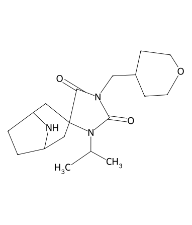 CC(C)N1C(=O)N(CC2CCOCC2)C(=O)C12CC1CCC(C2)N1